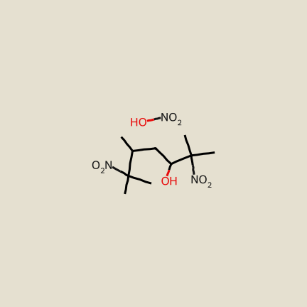 CC(CC(O)C(C)(C)[N+](=O)[O-])C(C)(C)[N+](=O)[O-].O=[N+]([O-])O